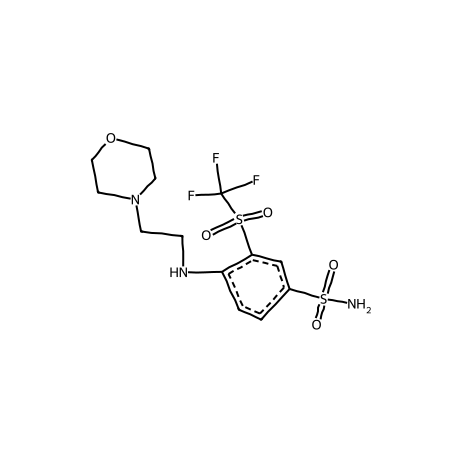 NS(=O)(=O)c1ccc(NCCN2CCOCC2)c(S(=O)(=O)C(F)(F)F)c1